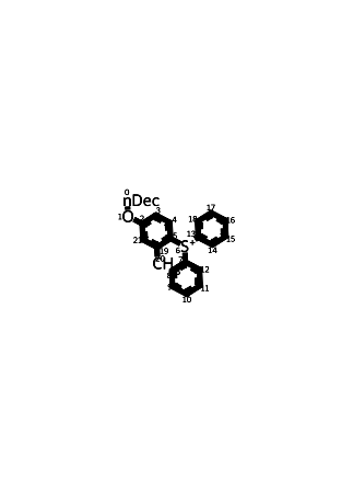 CCCCCCCCCCOc1ccc([S+](c2ccccc2)c2ccccc2)c(C)c1